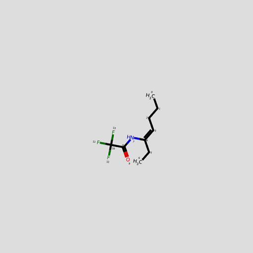 CCCC=C(CC)NC(=O)C(F)(F)F